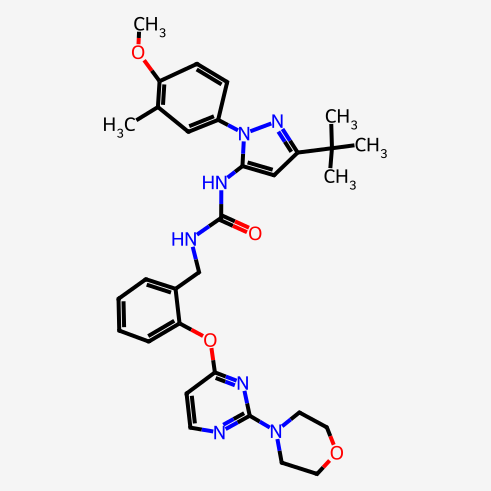 COc1ccc(-n2nc(C(C)(C)C)cc2NC(=O)NCc2ccccc2Oc2ccnc(N3CCOCC3)n2)cc1C